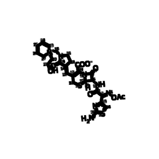 CC(=O)ON=C(C(=O)N[C@@H]1C(=O)N2C(C(=O)[O-])=C(C=C3CCN(C[N+]4(CCO)C=CC=CC4)C3=O)CS[C@H]12)c1csc(N)n1